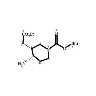 CCOC(=O)C[C@@H]1CN(C(=O)OC(C)(C)C)CC[C@@H]1N